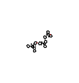 c1ccc2c3ccccc3n(-c3cccc(-c4ccc5c6ccccc6n(-c6ccc(-c7cccc(-c8nc(-c9ccccc9)cc(-c9ccccc9)n8)c7)cc6)c5c4)c3)c2c#1